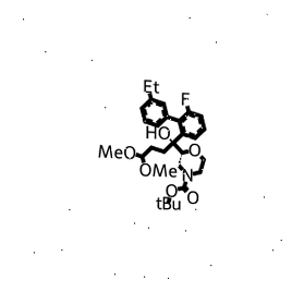 CCc1cccc(-c2c(F)cccc2[C@](O)(CCC(OC)OC)[C@H]2CN(C(=O)OC(C)(C)C)CCO2)c1